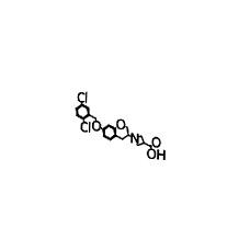 O=C(O)C1CN(C2COc3cc(OCc4cc(Cl)ccc4Cl)ccc3C2)C1